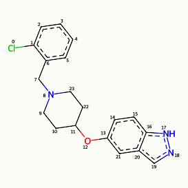 Clc1ccccc1CN1CCC(Oc2ccc3[nH]ncc3c2)CC1